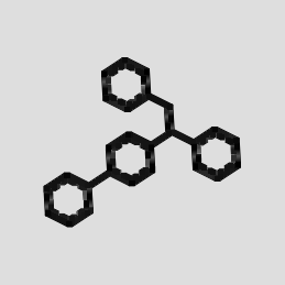 C(=C(c1ccccc1)c1ccc(-c2ccccc2)cc1)c1ccccc1